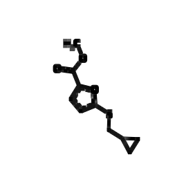 COC(=O)c1ccc(SCC2CC2)o1